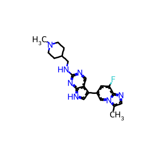 Cc1cnc2c(F)cc(-c3c[nH]c4nc(NCC5CCN(C)CC5)ncc34)cn12